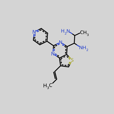 CC=Cc1csc2c(C(N)C(C)N)nc(-c3ccncc3)nc12